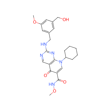 CONC(=O)c1cn(C2CCCCC2)c2nc(NCc3cc(CO)cc(OC)c3)ncc2c1=O